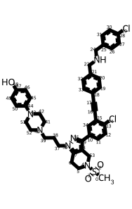 CS(=O)(=O)N1CCc2c(c(-c3ccc(Cl)c(C#Cc4ccc(CNCc5ccc(Cl)cc5)cc4)c3)nn2CCCN2CCN(c3ccc(O)cc3)CC2)C1